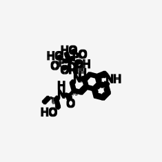 CC(O)(P(=O)(O)O)P(=O)(O)O.CC[C@@H](CO)NC(=O)[C@@H]1C=C2c3cccc4[nH]cc(c34)C[C@H]2N(C)C1